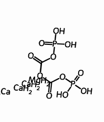 O=C(OC(=O)OP(=O)(O)O)OP(=O)(O)O.[CaH2].[CaH2].[CaH2].[MgH2]